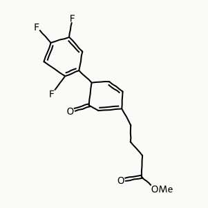 COC(=O)CCCC1=CC(=O)C(c2cc(F)c(F)cc2F)C=C1